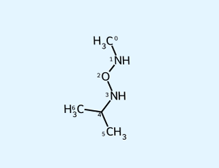 CNONC(C)C